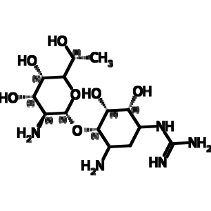 C[C@@H](O)C1O[C@H](O[C@H]2C(N)CC(NC(=N)N)[C@@H](O)[C@H]2O)[C@@H](N)[C@H](O)[C@@H]1O